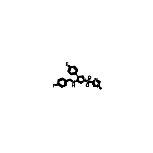 Cn1cnc(S(=O)(=O)N2C[C@@H](NCc3ccc(F)cc3)[C@H](c3ccc(F)cc3)C2)c1